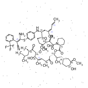 C/C=C/C=C(/C)C[C@H](Nc1ccc(S/C(N)=C(\C#N)c2ccccc2C(F)(F)F)cc1)[C@@H]1CC[C@@H](C)[C@](O)(C(=O)C(=O)N2CCCC[C@H]2C(=O)O[C@@H](CC(=O)[C@H](C)/C=C(\C)[C@@H](O)[C@@H](OC)C(=O)[C@H](C)CC(C)C)C(C)C[C@H]2CC[C@@H](O)[C@H](OC)C2)O1